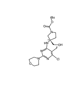 CC(C)(C)OC(=O)N1CC[C@](CO)(Nc2nc(N3CCOCC3)nc(Cl)c2F)C1